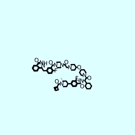 C[C@@H]1CC(c2ccc(C(=O)N[C@@H](C(=O)N3CCC(OC4CCN(CC(=O)N5CCN(C(=O)c6cc(Cc7n[nH]c(=O)c8ccccc78)ccc6F)CC5)CC4)CC3)C3CCCCC3)c(F)c2)CCN1C(=O)C12CC(C1)C2